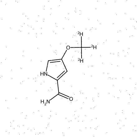 [2H]C([2H])([2H])Oc1c[nH]c(C(N)=O)c1